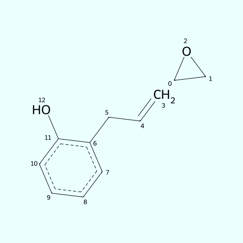 C1CO1.C=CCc1ccccc1O